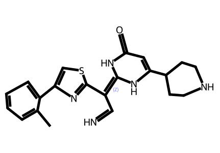 Cc1ccccc1-c1csc(/C(C=N)=C2\NC(=O)C=C(C3CCNCC3)N2)n1